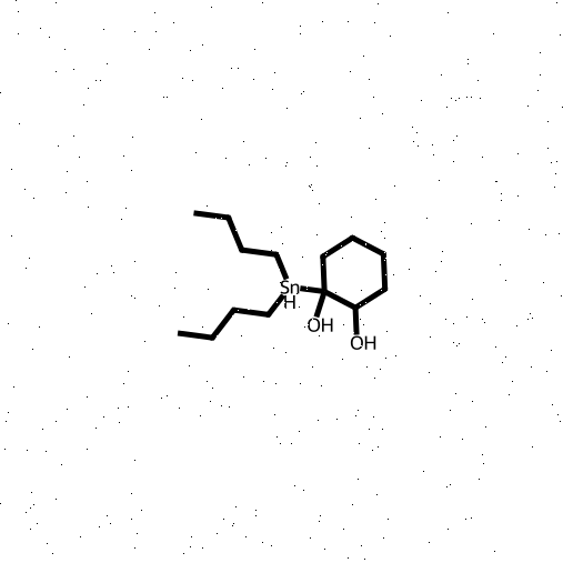 CCC[CH2][SnH]([CH2]CCC)[C]1(O)CCCCC1O